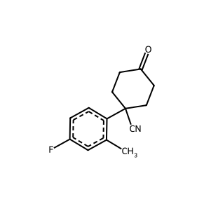 Cc1cc(F)ccc1C1(C#N)CCC(=O)CC1